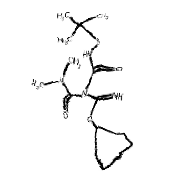 CN(C)C(=O)N(C(=N)OC1CCCCC1)C(=O)NSC(C)(C)C